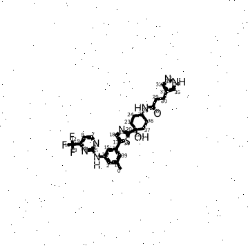 Cc1cc(Nc2nccc(C(F)(F)F)n2)cc(-c2cnc([C@]3(O)CC[C@H](NC(=O)CCc4cn[nH]c4)CC3)s2)c1